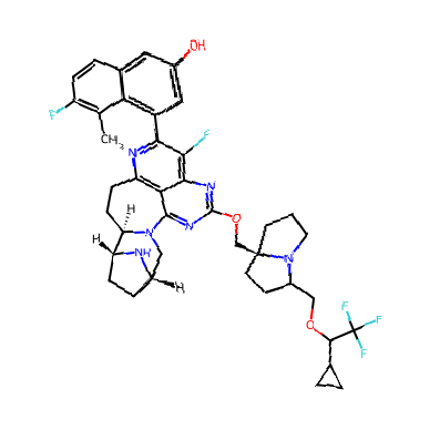 Cc1c(F)ccc2cc(O)cc(-c3nc4c5c(nc(OC[C@@]67CCCN6C(COC(C6CC6)C(F)(F)F)CC7)nc5c3F)N3C[C@@H]5CC[C@@H](N5)[C@H]3CC4)c12